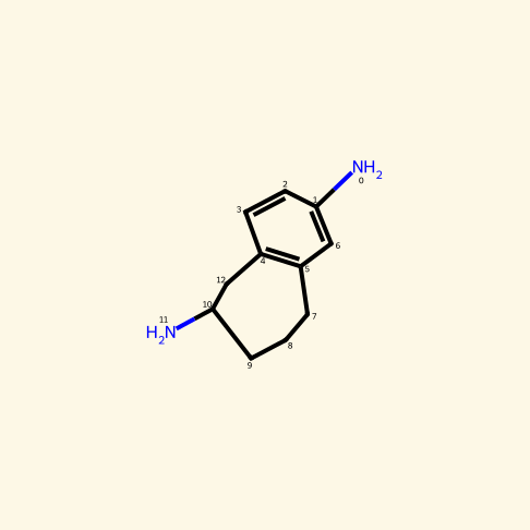 Nc1ccc2c(c1)CCCC(N)C2